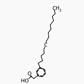 CCCCCCCCCCCCCCCc1cccc(CC(=O)O)c1